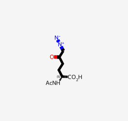 CC(=O)N[C@@H](CCC(=O)C=[N+]=[N-])C(=O)O